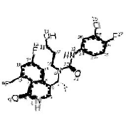 C[C@H](c1c[nH]c(=O)c2c(F)cc(F)cc12)N(CCCO)C(=O)Nc1ccc(F)c(Cl)c1